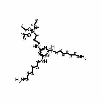 CCO[Si](CCCNc1nc(NCCCCCCN)nc(NCCCCCCN)n1)(OCC)OCC